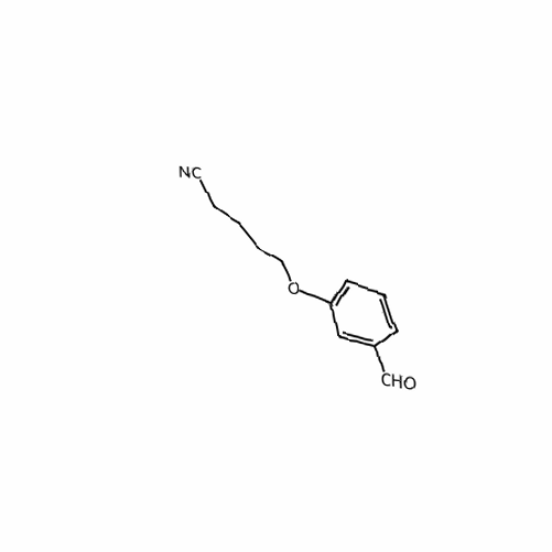 N#CCCCCOc1cccc(C=O)c1